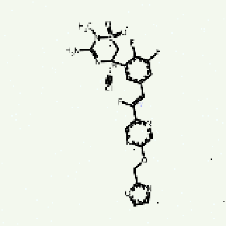 C#C[C@@]1(c2cc(/C=C(\F)c3cnc(OCc4ncco4)cn3)cc(F)c2F)CS(=O)(=O)N(C)C(N)=N1